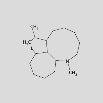 CC(C)C1CCCCCN(C)C2CCCCC(I)C12